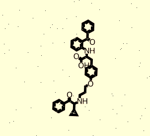 O=C(c1ccccc1)c1ccccc1NC(Cc1ccc(OCCCNC(C(=O)c2ccccc2)C2CC2)cc1)C(=O)O